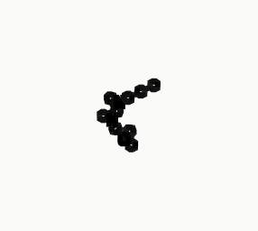 c1ccc(-c2ccc(-c3ccc(-n4c5ccccc5c5c6c7ccccc7n(-c7cccc(-c8cccc9c8oc8ccccc89)c7)c6ccc54)cc3)cc2)cc1